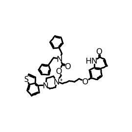 O=C(OC[N+]1(CCCCOc2ccc3ccc(=O)[nH]c3c2)CCN(c2cccc3sccc23)CC1)N(Cc1ccccc1)Cc1ccccc1